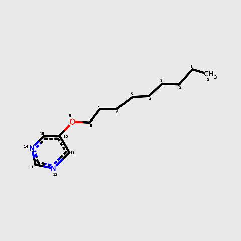 CCCCCCCCCOc1cncnc1